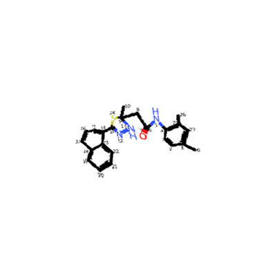 Cc1ccc(NC(=O)CC2(C)NN=C(c3cccc4ccccc34)S2)c(C)c1